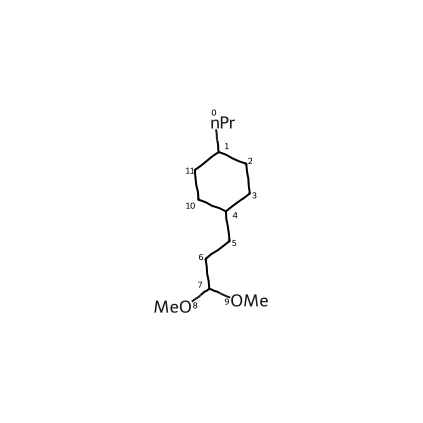 CCCC1CCC(CCC(OC)OC)CC1